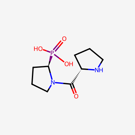 O=C([C@@H]1CCCN1)N1CCC[C@H]1P(=O)(O)O